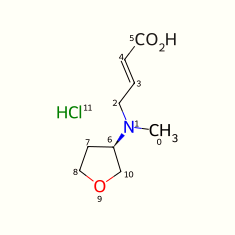 CN(C/C=C/C(=O)O)[C@@H]1CCOC1.Cl